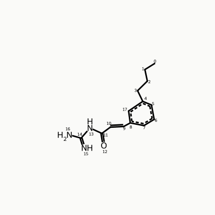 CCCCc1cccc(C=CC(=O)NC(=N)N)c1